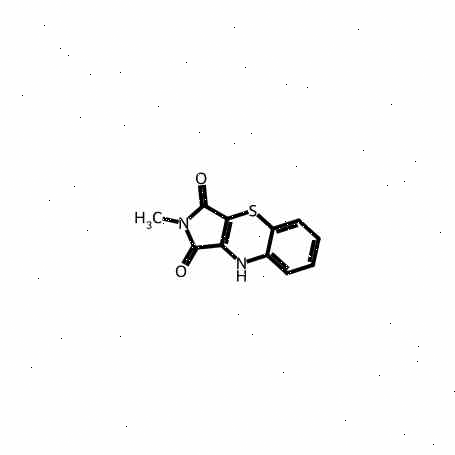 Cn1c(=O)c2[nH]c3ccccc3sc=2c1=O